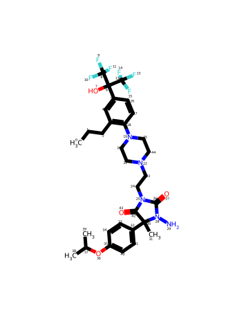 CCCc1cc(C(O)(C(F)(F)F)C(F)(F)F)ccc1N1CCN(CCN2C(=O)N(N)C(C)(c3ccc(OC(C)C)cc3)C2=O)CC1